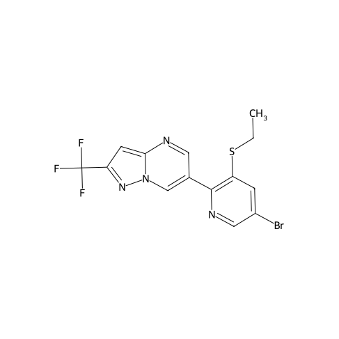 CCSc1cc(Br)cnc1-c1cnc2cc(C(F)(F)F)nn2c1